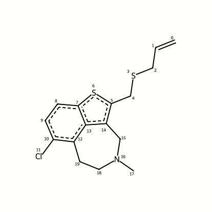 C=CCSCc1sc2ccc(Cl)c3c2c1CN(C)CC3